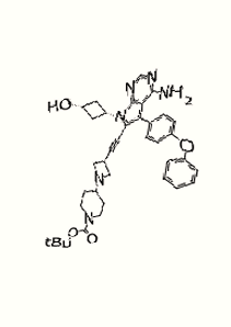 CC(C)(C)OC(=O)N1CCC(N2CC(C#Cc3c(-c4ccc(Oc5ccccc5)cc4)c4c(N)ncnc4n3[C@H]3C[C@@H](O)C3)C2)CC1